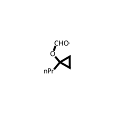 CCCC1(O[C]=O)CC1